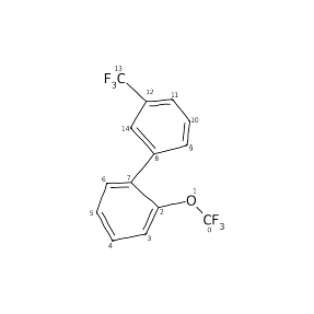 FC(F)(F)Oc1ccccc1-c1[c]ccc(C(F)(F)F)c1